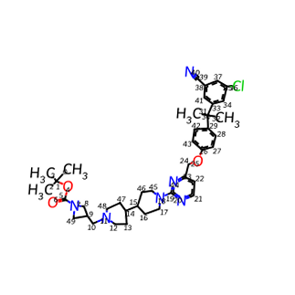 CC(C)(C)OC(=O)N1CC(CN2CCC(C3CCN(c4nccc(COc5ccc(C(C)(C)c6cc(Cl)cc(C#N)c6)cc5)n4)CC3)CC2)C1